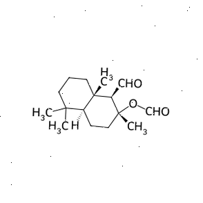 CC1(C)CCC[C@]2(C)[C@@H](C=O)[C@](C)(OC=O)CC[C@@H]12